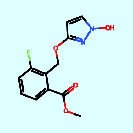 COC(=O)c1cccc(F)c1COc1ccn(O)n1